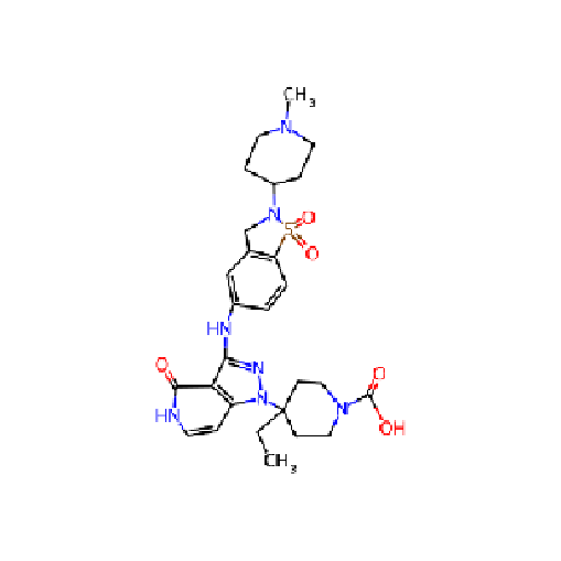 CCC1(n2nc(Nc3ccc4c(c3)CN(C3CCN(C)CC3)S4(=O)=O)c3c(=O)[nH]ccc32)CCN(C(=O)O)CC1